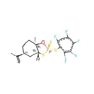 C=C(C)[C@H]1CC[C@@]2(C)O[P@](=S)(Sc3c(F)c(F)c(F)c(F)c3F)S[C@@H]2C1